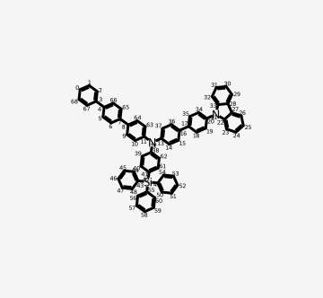 c1ccc(-c2ccc(-c3ccc(N(c4ccc(-c5ccc(-n6c7ccccc7c7ccccc76)cc5)cc4)c4ccc([Si](c5ccccc5)(c5ccccc5)c5ccccc5)cc4)cc3)cc2)cc1